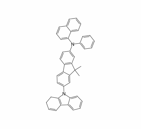 CC1(C)c2cc(N(c3ccccc3)c3cccc4ccccc34)ccc2-c2ccc(-n3c4c(c5ccccc53)C=CCC4)cc21